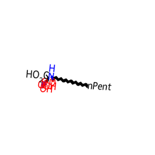 CCCCCC=CCC=CCC=CCC=CCCCC(=O)N[C@@H](COP(=O)(O)O)C(=O)O